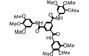 COc1cc(NC(=O)c2cc(C(=O)Nc3cc(OC)c(OC)c(OC)c3)cc(C(=O)Nc3cc(OC)c(OC)c(OC)c3)c2)cc(OC)c1OC